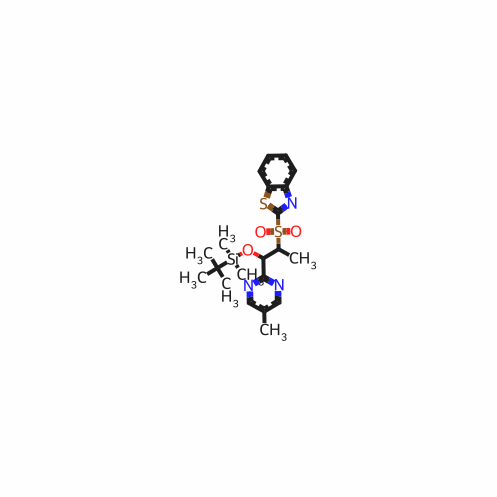 Cc1cnc(C(O[Si](C)(C)C(C)(C)C)C(C)S(=O)(=O)c2nc3ccccc3s2)nc1